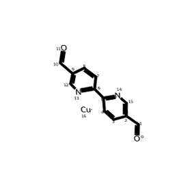 O=Cc1ccc(-c2ccc(C=O)cn2)nc1.[Cu]